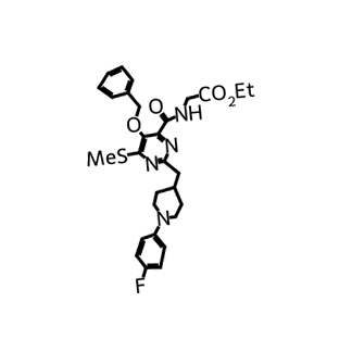 CCOC(=O)CNC(=O)c1nc(CC2CCN(c3ccc(F)cc3)CC2)nc(SC)c1OCc1ccccc1